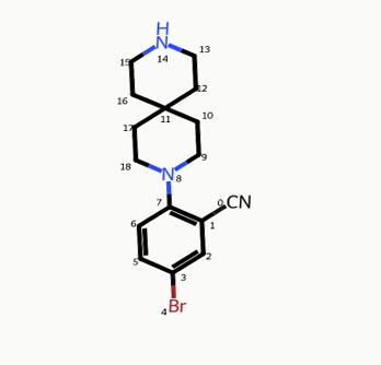 N#Cc1cc(Br)ccc1N1CCC2(CCNCC2)CC1